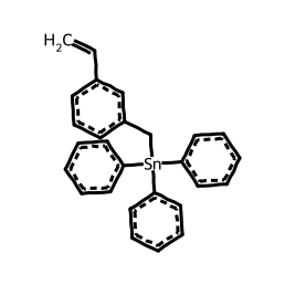 C=Cc1cccc([CH2][Sn]([c]2ccccc2)([c]2ccccc2)[c]2ccccc2)c1